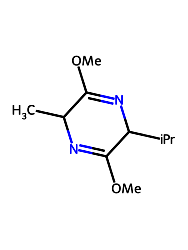 COC1=NC(C(C)C)C(OC)=NC1C